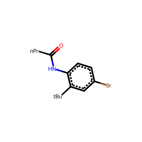 CCCC(=O)Nc1ccc(Br)cc1C(C)(C)C